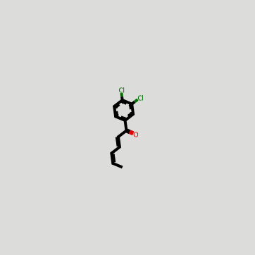 C/C=C\C=C\C(=O)c1ccc(Cl)c(Cl)c1